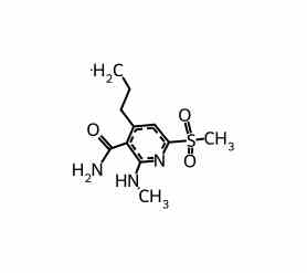 [CH2]CCc1cc(S(C)(=O)=O)nc(NC)c1C(N)=O